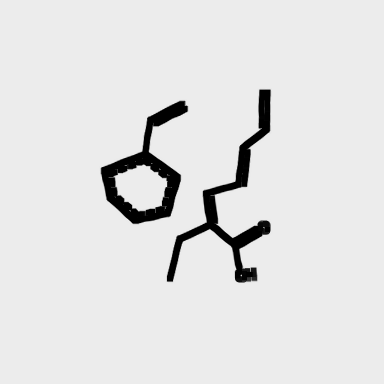 C=CC=CC=C(CC)C(=O)O.C=Cc1ccccc1